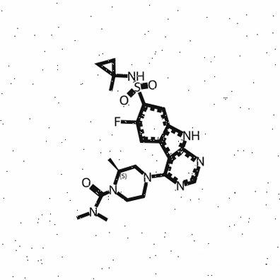 C[C@H]1CN(c2ncnc3[nH]c4cc(S(=O)(=O)NC5(C)CC5)c(F)cc4c23)CCN1C(=O)N(C)C